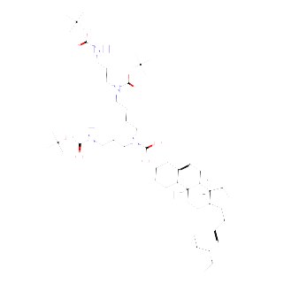 CC[C@H](/C=C/[C@@H](C)[C@H]1CC[C@H]2[C@@H]3CC=C4C[C@@H](OC(=O)N(CCCCN(CCCNC(=O)OC(C)(C)C)C(=O)OC(C)(C)C)CCCNC(=O)OC(C)(C)C)CC[C@]4(C)[C@H]3CC[C@]12C)C(C)C